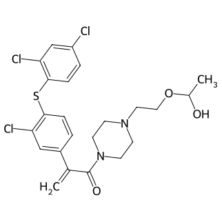 C=C(C(=O)N1CCN(CCOC(C)O)CC1)c1ccc(Sc2ccc(Cl)cc2Cl)c(Cl)c1